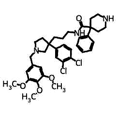 COc1cc(CN2CCC(CCCNC(=O)C3(c4ccccc4)CCNCC3)(c3ccc(Cl)c(Cl)c3)C2)cc(OC)c1OC